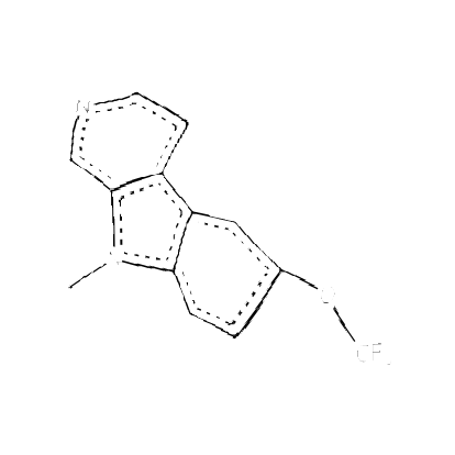 Cn1c2ccc(OC(F)(F)F)cc2c2ccncc21